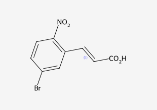 O=C(O)/C=C/c1cc(Br)ccc1[N+](=O)[O-]